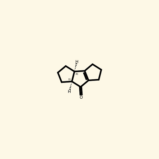 O=C1C2=C(CCC2)[C@@H]2CCC[C@H]12